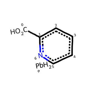 O=C(O)c1ccccn1.[PbH2]